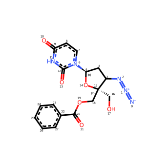 [N-]=[N+]=NC1C[C@H](n2ccc(=O)[nH]c2=O)O[C@]1(CO)COC(=O)c1ccccc1